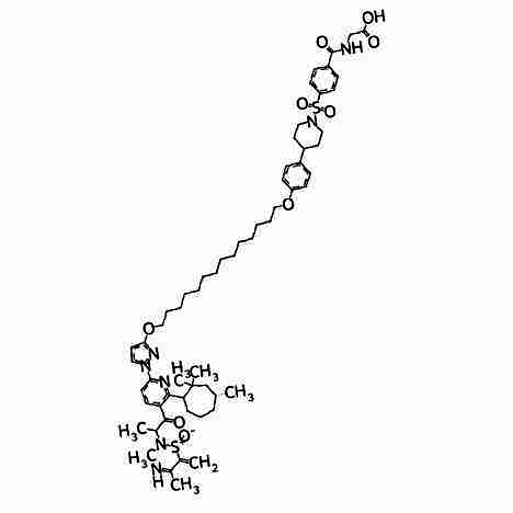 C=C(C(C)=N)[S+]([O-])N(C)C(C)C(=O)c1ccc(-n2ccc(OCCCCCCCCCCCCCCOc3ccc(C4CCN(S(=O)(=O)c5ccc(C(=O)NCC(=O)O)cc5)CC4)cc3)n2)nc1C1CCC[C@@H](C)CC1(C)C